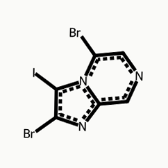 Brc1nc2cncc(Br)n2c1I